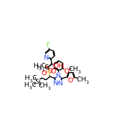 COc1cccc(OC)c1-n1c(-c2ccc(C)o2)nnc1C(CC[Si](C)(C)C)S(=O)(=O)[C@H](C)[C@H](O)c1ccc(F)cn1